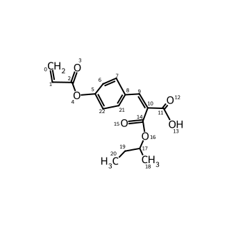 C=CC(=O)Oc1ccc(C=C(C(=O)O)C(=O)OC(C)CC)cc1